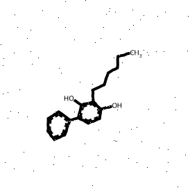 CCCCCCc1c(O)ccc(-c2ccccc2)c1O